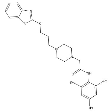 CC(C)c1cc(C(C)C)c(NC(=O)CN2CCN(CCCSc3nc4ccccc4s3)CC2)c(C(C)C)c1